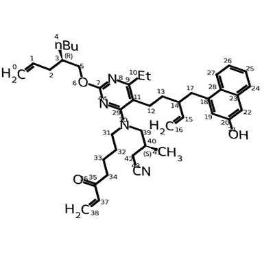 C=CC[C@@H](CCCC)COc1nc(CC)c(CCC(C=C)Cc2cc(O)cc3ccccc23)c(N(CCCCC(=O)C=C)C[C@@H](C)CC#N)n1